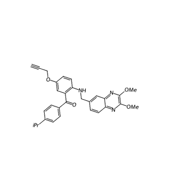 C#CCOc1ccc(NCc2ccc3nc(OC)c(OC)nc3c2)c(C(=O)c2ccc(C(C)C)cc2)c1